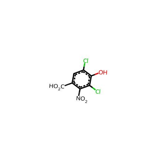 O=C(O)c1cc(Cl)c(O)c(Cl)c1[N+](=O)[O-]